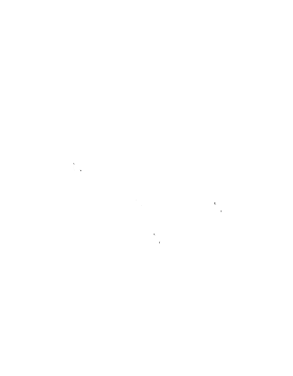 CN(C)/C=N\N=C\N(C)C